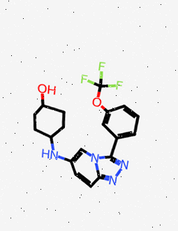 OC1CCC(Nc2ccc3nnc(-c4cccc(OC(F)(F)F)c4)n3c2)CC1